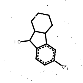 OC1c2ccc(C(F)(F)F)cc2C2CCCCC12